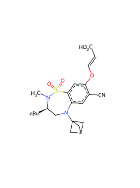 CCCC[C@@H]1CN(C23CC(C2)C3)c2cc(C#N)c(O/C=C/C(=O)O)cc2S(=O)(=O)N1C